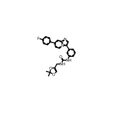 CC1(C)OC=C(CNC(=O)Nc2cccc(-c3cnc4cc(-c5ccc(F)cc5)ccn34)c2)O1